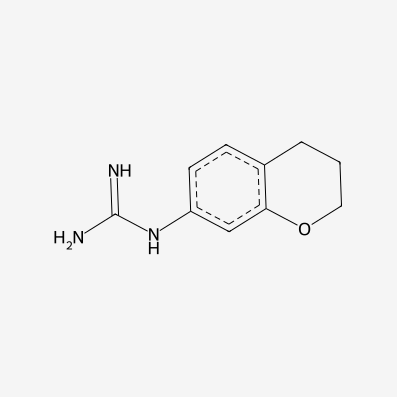 N=C(N)Nc1ccc2c(c1)OCCC2